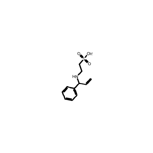 C=CC(NCCS(=O)(=O)O)c1ccccc1